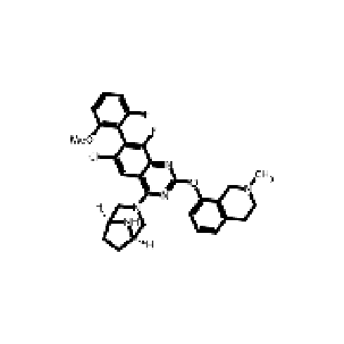 COc1cccc(F)c1-c1c(Cl)cc2c(N3C[C@H]4CC[C@@H](C3)N4)nc(Oc3cccc4c3CN(C)CC4)nc2c1F